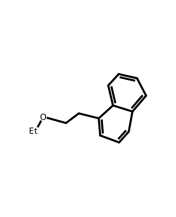 CCOCCc1cccc2ccccc12